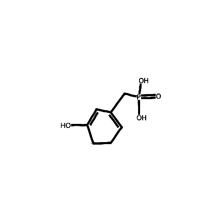 O=P(O)(O)CC1=CC[CH]C(O)=C1